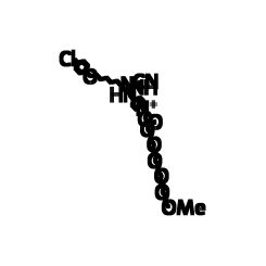 COCCOCCOCCOCCOCCOC(=O)OC[n+]1ccc(N/C(=N\CCCCCCOc2ccc(Cl)cc2)NC#N)cc1